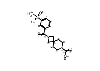 NS(=O)(=O)c1cccc(C(=O)N2CC3(CCN(C(=O)O)CC3)C2)c1